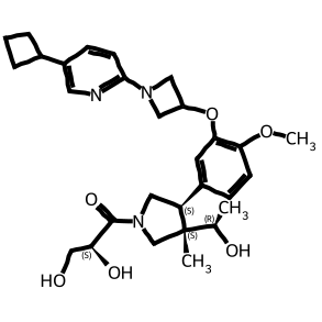 COc1ccc([C@@H]2CN(C(=O)[C@@H](O)CO)C[C@@]2(C)[C@@H](C)O)cc1OC1CN(c2ccc(C3CCC3)cn2)C1